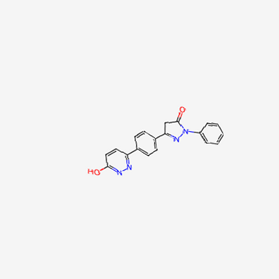 O=C1CC(c2ccc(-c3ccc(O)nn3)cc2)=NN1c1ccccc1